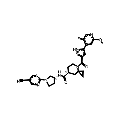 COc1cc(-c2cc(C(=O)N3CC[C@H](C(=O)N[C@@H]4CCN(c5ncc(C#N)cn5)C4)CC34CC4)n[nH]2)c(F)cn1